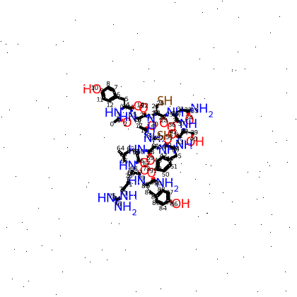 CC(=O)N[C@@H](Cc1ccc(O)cc1)C(=O)N[C@@H](CC(N)=O)C(=O)N[C@@H](CS)C(=O)N[C@@H](CC(N)=O)C(=O)N[C@@H](CO)C(=O)N[C@@H](Cc1ccccc1)C(=O)N[C@@H](CS)C(=O)N[C@@H](CC(C)C)C(=O)N[C@@H](CCCNC(=N)N)C(=O)N[C@@H](Cc1ccc(O)cc1)C(N)=O